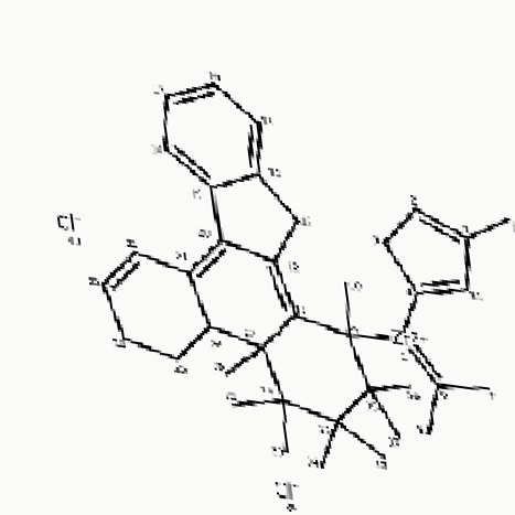 CC1=CC[C]([Zr+2](=[C](C)C)[C]2(C)C3=C4Cc5ccccc5C4=C4C=CCCC4C3(C)C(C)(C)C(C)(C)C2(C)C)=C1.[Cl-].[Cl-]